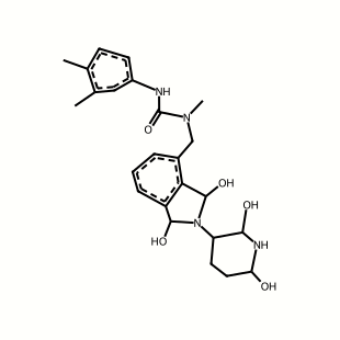 Cc1ccc(NC(=O)N(C)Cc2cccc3c2C(O)N(C2CCC(O)NC2O)C3O)cc1C